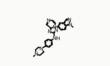 CN1CCN(c2ccc(NC3=N[N+]4(c5ccc6c(cnn6C)c5)C=CN=CC4=N3)cc2)CC1